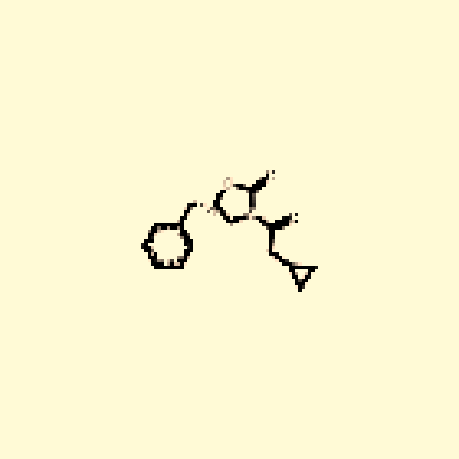 O=C(CC1CC1)N1C[C@H](Cc2ccccc2)OC1=O